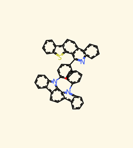 c1ccc(-n2c3ccccc3c3ccc4c5ccccc5n(-c5ccc(-c6nc7ccccc7c7ccc8c9ccccc9sc8c67)cc5)c4c32)cc1